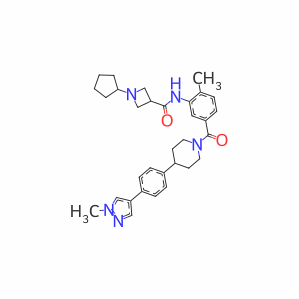 Cc1ccc(C(=O)N2CCC(c3ccc(-c4cnn(C)c4)cc3)CC2)cc1NC(=O)C1CN(C2CCCC2)C1